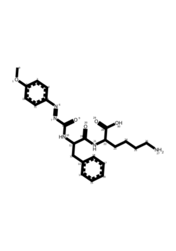 COc1ccc(/N=N/C(=O)NC(Cc2ccccc2)C(=O)NC(CCCCN)C(=O)O)cc1